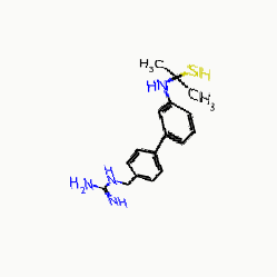 CC(C)(S)Nc1cccc(-c2ccc(CNC(=N)N)cc2)c1